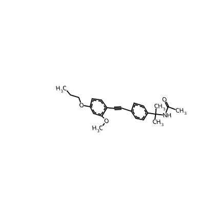 CCCOc1ccc(C#Cc2ccc(C(C)(C)NC(C)=O)cc2)c(OC)c1